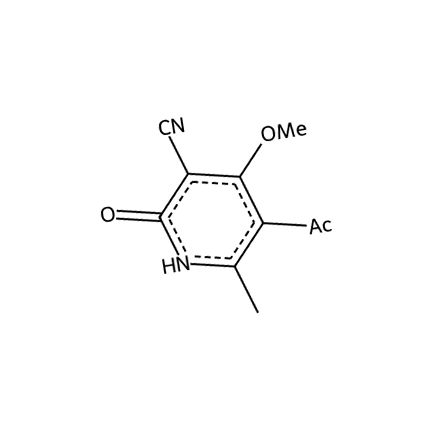 COc1c(C(C)=O)c(C)[nH]c(=O)c1C#N